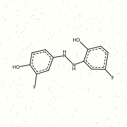 Oc1ccc(NNc2cc(F)ccc2O)cc1F